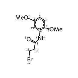 COc1ccc(OC)c(NC(=O)CCBr)c1